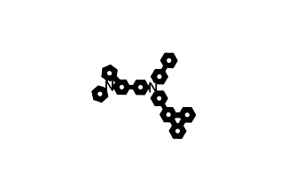 c1ccc(-c2ccc(N(c3ccc(-c4ccc5c6ccccc6c6ccccc6c5c4)cc3)c3ccc(-c4ccc5c(c4)c4ccccc4n5-c4ccccc4)cc3)cc2)cc1